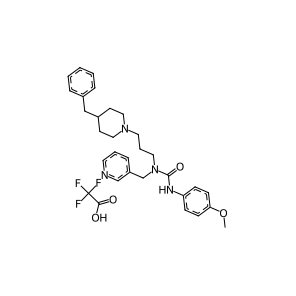 COc1ccc(NC(=O)N(CCCN2CCC(Cc3ccccc3)CC2)Cc2cccnc2)cc1.O=C(O)C(F)(F)F